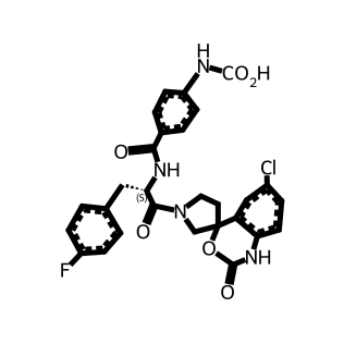 O=C(O)Nc1ccc(C(=O)N[C@@H](Cc2ccc(F)cc2)C(=O)N2CCC3(C2)OC(=O)Nc2ccc(Cl)cc23)cc1